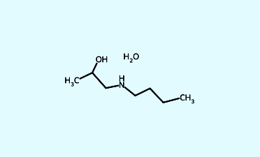 CCCCNCC(C)O.O